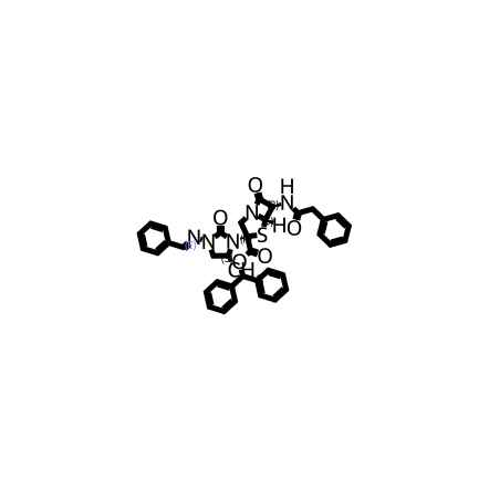 C[C@H]1CN(/N=C/c2ccccc2)C(=O)N1[C@]1(C(=O)OC(c2ccccc2)c2ccccc2)CN2C(=O)[C@@H](NC(=O)Cc3ccccc3)[C@@H]2S1